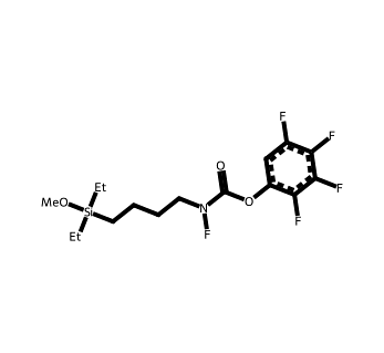 CC[Si](CC)(CCCCN(F)C(=O)Oc1cc(F)c(F)c(F)c1F)OC